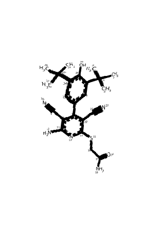 CC(C)(C)c1cc(-c2c(C#N)c(N)nc(SCC(N)=O)c2C#N)cc(C(C)(C)C)c1O